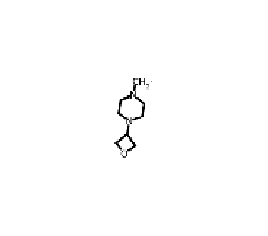 [CH2]N1CCN(C2COC2)CC1